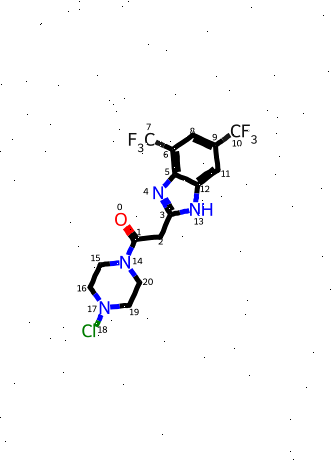 O=C(Cc1nc2c(C(F)(F)F)cc(C(F)(F)F)cc2[nH]1)N1CCN(Cl)CC1